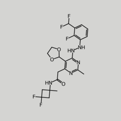 Cc1nc(CC(=O)NC2(C)CC(F)(F)C2)c(C2OCCO2)c(NNc2cccc(C(F)F)c2F)n1